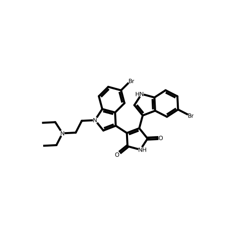 CCN(CC)CCn1cc(C2=C(c3c[nH]c4ccc(Br)cc34)C(=O)NC2=O)c2cc(Br)ccc21